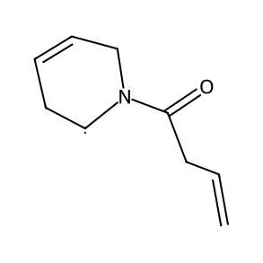 C=CCC(=O)N1[CH]CC=CC1